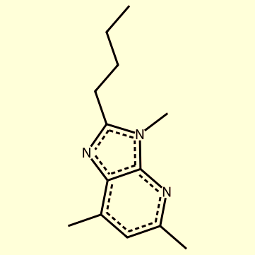 CCCCc1nc2c(C)cc(C)nc2n1C